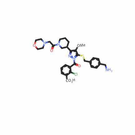 COc1c(C2CCCN(C(=O)CN3CCOCC3)C2)nn(C(=O)c2cccc(C(=O)O)c2Cl)c1SCc1ccc(CN)cc1